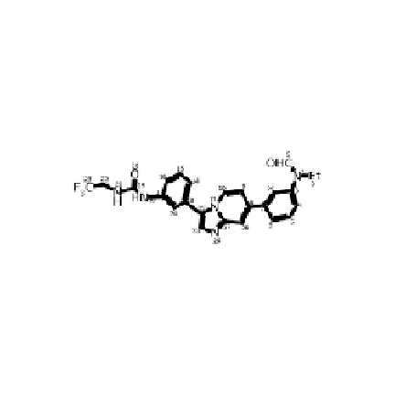 CCN(C=O)c1cccc(-c2ccn3c(-c4cccc(NC(=O)NCC(F)(F)F)c4)cnc3c2)c1